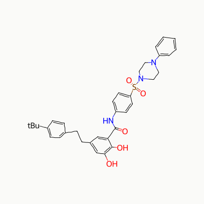 CC(C)(C)c1ccc(CCc2cc(O)c(O)c(C(=O)Nc3ccc(S(=O)(=O)N4CCN(c5ccccc5)CC4)cc3)c2)cc1